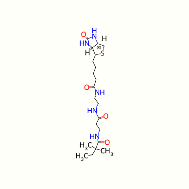 CCC(C)(C)C(=O)NCCC(=O)NCCNC(=O)CCCCC1SC[C@@H]2NC(=O)N[C@H]12